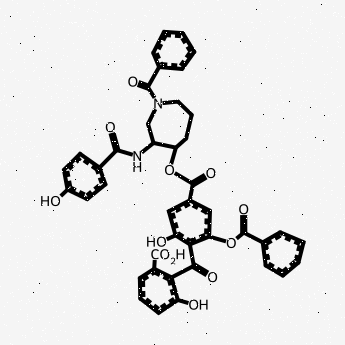 O=C(NC1CN(C(=O)c2ccccc2)CCCC1OC(=O)c1cc(O)c(C(=O)c2c(O)cccc2C(=O)O)c(OC(=O)c2ccccc2)c1)c1ccc(O)cc1